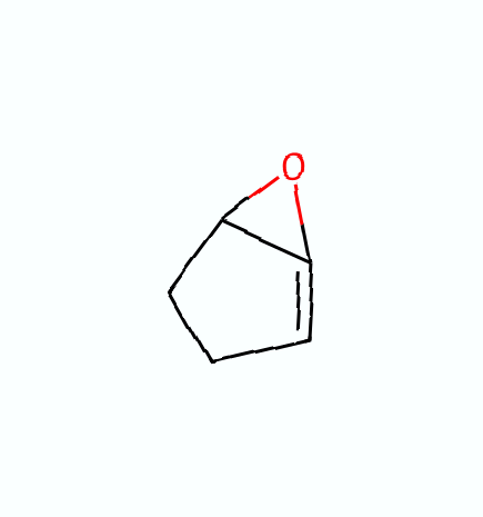 C1=C2OC2CC1